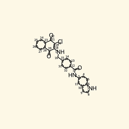 O=C(Nc1ccc2[nH]ccc2c1)c1ccc(CNC2=C(Cl)C(=O)c3ccccc3C2=O)cc1